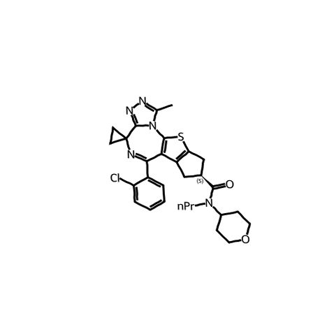 CCCN(C(=O)[C@@H]1Cc2sc3c(c2C1)C(c1ccccc1Cl)=NC1(CC1)c1nnc(C)n1-3)C1CCOCC1